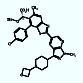 Cc1cc2nc(-c3cnc4c(c3)c(C3CCN(C5COC5)CC3)nn4C)sc2c(-c2ccc(Cl)cc2)c1[C@H](OC(C)(C)C)C(=O)O